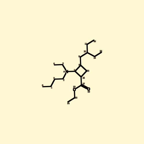 CCCCN(CC)C1C(CC(CC)CC)CC1C(=O)OCC